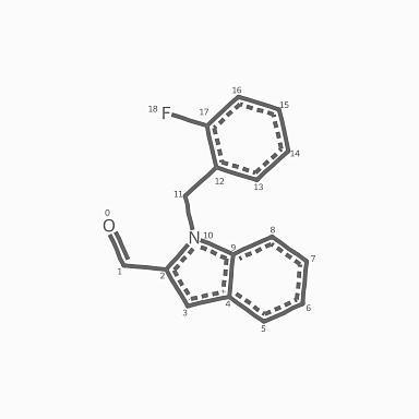 O=Cc1cc2ccccc2n1Cc1ccccc1F